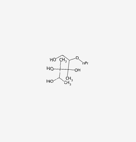 CCCOC(CO)C(C)(O)C(C)(O)C(C)O